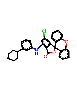 O=C1OC2(c3ccccc3Oc3ccccc32)c2cc(Cl)cc(Nc3cccc(C4CCCCC4)c3)c21